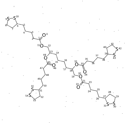 O=C(CCCCC1CCSS1)OCC(CCCCC(COC(=O)CCCCC1CCSS1)OC(=O)CCCCC1CCSS1)OC(=O)CCCCC1CCSS1